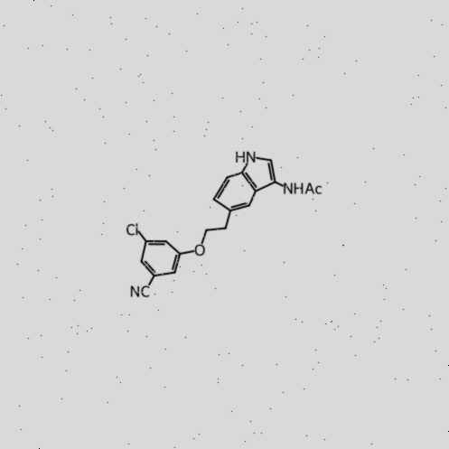 CC(=O)Nc1c[nH]c2ccc(CCOc3cc(Cl)cc(C#N)c3)cc12